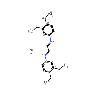 CCc1ccc(N=CC=Nc2ccc(CC)c(CC)c2)cc1CC.[Ni]